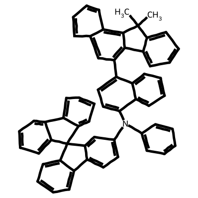 CC1(C)c2ccccc2-c2c(-c3ccc(N(c4ccccc4)c4ccc5c(c4)C4(c6ccccc6-c6ccccc64)c4ccccc4-5)c4ccccc34)cc3ccccc3c21